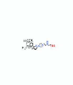 CC1(C)CCC(C)(C)c2cc(-c3cccc(N4CCN(CCNCCO)CC4)n3)ccc21